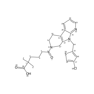 CC(C)(CCCC(=O)N1CCc2c(n(Cc3cc(Cl)cs3)c3ncccc23)C1)C(=O)O